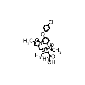 Cc1cc(CS[C@H](C)C(C(=O)NO)N(C)S(=O)(=O)c2ccc(Oc3ccc(Cl)cc3)cc2)no1